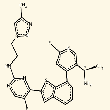 Cc1cn(CCNc2ncc(F)c(-c3cc4cccc(-c5cc(F)ncc5[C@@H](C)N)c4s3)n2)nn1